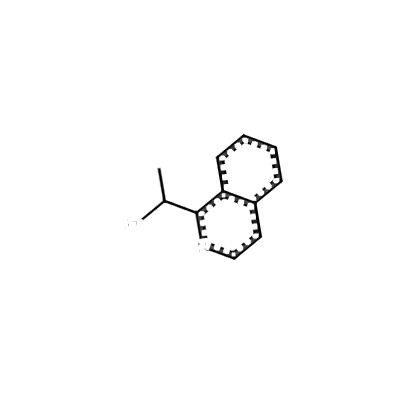 CC(C)C(C)c1nccc2ccccc12